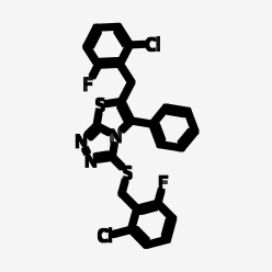 Fc1cccc(Cl)c1CSc1nnc2sc(Cc3c(F)cccc3Cl)c(-c3ccccc3)n12